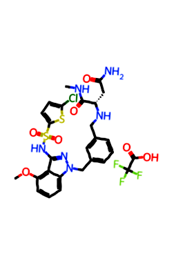 CNC(=O)[C@H](CC(N)=O)NCc1cccc(Cn2nc(NS(=O)(=O)c3ccc(Cl)s3)c3c(OC)cccc32)c1.O=C(O)C(F)(F)F